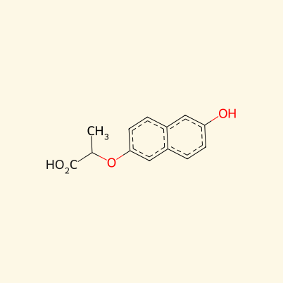 CC(Oc1ccc2cc(O)ccc2c1)C(=O)O